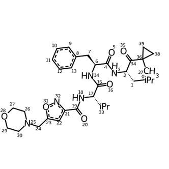 CC(C)C[C@H](NC(=O)[C@H](Cc1ccccc1)NC(=O)[C@@H](NC(=O)c1cc(CN2CCOCC2)on1)C(C)C)C(=O)C1(C)CC1